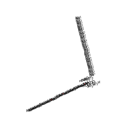 CCCCCCCCCCCCOS(=O)(=O)O.CCCCCCCCCCCCOS(=O)(=O)O.CCCCCCCCCCCCOS(=O)(=O)O.[Na+].[Na+].[Na+].[Na+].[Na+].[Na+].[Na+].[Na+].[Na+].[Na+].[Na+].[Na+].[Na+].[Na+].[Na+].[Na+].[Na+].[Na+].[Na+].[Na+].[Na+].[Na+].[Na+].[Na+].[Na+].[Na+].[Na+].[Na+].[Na+].[Na+].[Na+].[Na+].[Na+].[Na+].[Na+].[Na+].[Na+].[Na+].[Na+].[Na+].[Na+].[Na+].[Na+].[Na+].[Na+].[Na+].[Na+].[Na+].[Na+].[Na+].[Na+].[Na+].[Na+].[Na+].[Na+].[Na+].[Na+].[Na+].[Na+].[Na+].[Na+].[Na+].[Na+].[Na+].[Na+].[Na+].[Na+].[Na+].[Na+].[Na+].[Na+].[Na+].[Na+].[Na+].[Na+].[Na+].[Na+].[Na+].[Na+].[Na+].[Na+].[Na+].[Na+].[Na+].[Na+].[Na+].[Na+].[Na+].[Na+].[Na+]